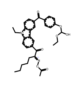 CCCCC/C(=N\OC(C)=O)C(=O)c1ccc2c(c1)c1cc(C(=O)c3ccc(OC(O)OCC)cc3)ccc1n2CC